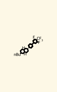 CCCCC1CC[C@@H]2C[C@H](c3ccc(-c4cc(F)c(C(F)(F)F)c(F)c4)cc3)CC[C@@H]2C1